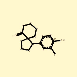 Cc1cc(C2CCCC23CCCCC3=O)ccc1F